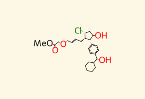 COC(=O)COCC=CC[C@@H]1[C@@H](c2ccc(C(O)C3CCCCC3)cc2)[C@H](O)C[C@H]1Cl